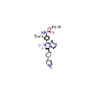 C=C([C@H]1CC[C@H](N2CCN(C)CC2)CC1)N1C=CN=C(C)/C1=C(/N)c1ccc(NC(=O)O[C@@H](C)CCC)c(OC)c1